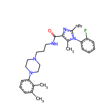 CCCc1nc(C(=O)NCCCN2CCN(c3cccc(C)c3C)CC2)c(C)n1-c1ccccc1F